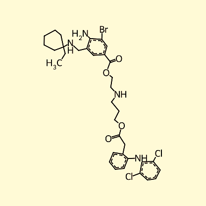 CCC1(NCc2cc(C(=O)OCCNCCCOC(=O)Cc3ccccc3Nc3c(Cl)cccc3Cl)cc(Br)c2N)CCCCC1